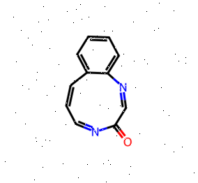 O=C1/C=N\c2ccccc2/C=C\C=N/1